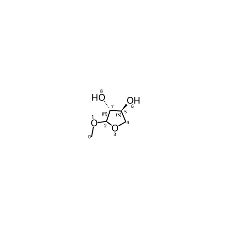 COC1OC[C@H](O)[C@H]1O